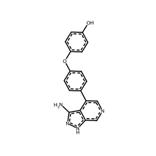 Nc1n[nH]c2cncc(-c3ccc(Oc4ccc(O)cc4)cc3)c12